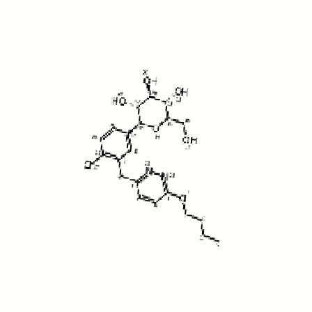 CCCCOc1ccc(Cc2cc([C@@H]3O[C@H](CO)[C@@H](O)[C@H](O)[C@H]3O)ccc2Cl)nn1